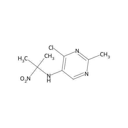 Cc1ncc(NC(C)(C)[N+](=O)[O-])c(Cl)n1